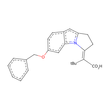 CC(C)(C)C(C(=O)O)=C1CCc2cc3ccc(OCc4ccccc4)cc3n21